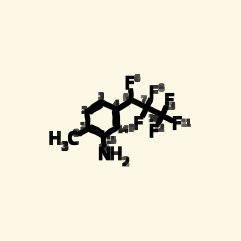 Cc1ccc(C(F)C(F)(F)C(F)(F)F)cc1N